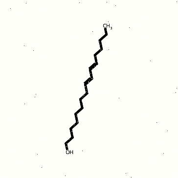 CCCCCC=CC=CCCCCCCCCO